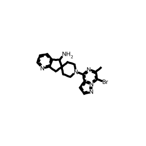 Cc1nc(N2CCC3(CC2)Cc2ncccc2C3N)c2ccnn2c1Br